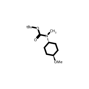 CO[C@H]1CC[C@H](N(C)C(=O)OC(C)(C)C)CC1